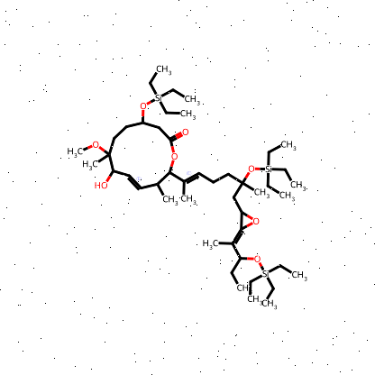 CCC(O[Si](CC)(CC)CC)C(C)=C1OC1CC(C)(CC/C=C(\C)C1OC(=O)CC(O[Si](CC)(CC)CC)CCC(C)(OC)C(O)/C=C/C1C)O[Si](CC)(CC)CC